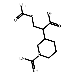 CC(=O)SCC(C(=O)O)C1CCCN(C(=N)N)C1